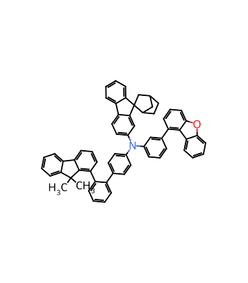 CC1(C)c2ccccc2-c2cccc(-c3ccccc3-c3ccc(N(c4cccc(-c5cccc6oc7ccccc7c56)c4)c4ccc5c(c4)C4(CC6CCC4C6)c4ccccc4-5)cc3)c21